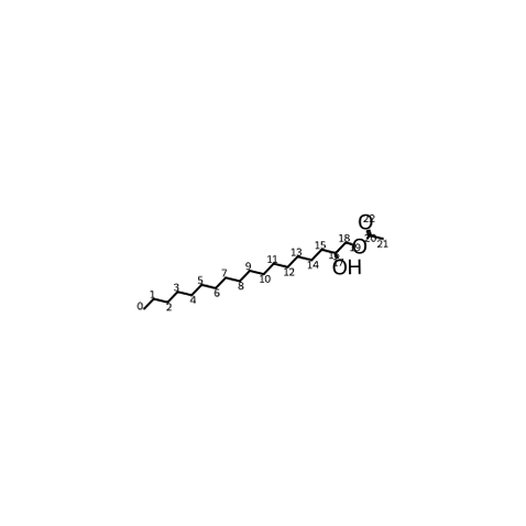 CCCCCCCCCCCCCCCCC(O)COC(C)=O